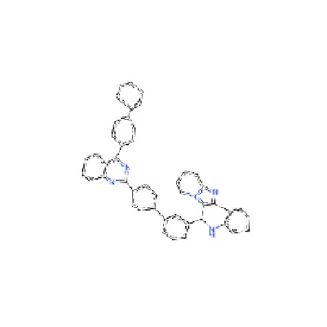 c1ccc(-c2ccc(-c3nc(-c4ccc(-c5cccc(C6Nc7ccccc7-c7nc8ccccn8c76)c5)cc4)nc4ccccc34)cc2)cc1